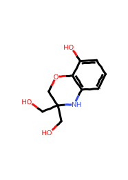 OCC1(CO)COc2c([c]ccc2O)N1